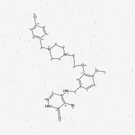 COc1ccc(CNc2cn[nH]c(=O)c2Br)cc1OCCN1CCN(Cc2ccc(Cl)cc2)CC1